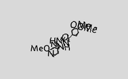 COc1ccc(-c2cnc(Nc3nc4c(OC)nccc4[nH]3)o2)cc1OC